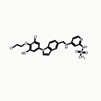 CS(=O)(=O)Nc1cc(NCc2ccc3c(ccn3-c3cc(Cl)c(OCCCl)c(C#N)c3)c2)ccn1